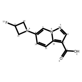 O=C(O)c1cnn2cc(N3CC(F)C3)ccc12